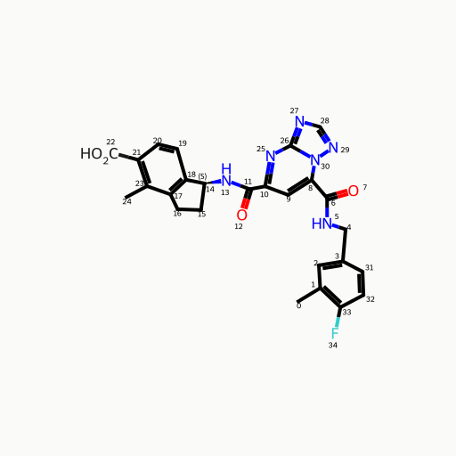 Cc1cc(CNC(=O)c2cc(C(=O)N[C@H]3CCc4c3ccc(C(=O)O)c4C)nc3ncnn23)ccc1F